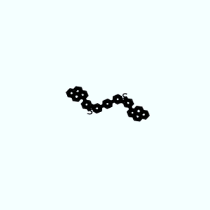 c1cc2ccc3ccc(-c4ccc5sc6ccc(-c7ccc(-c8ccc9sc%10ccc(-c%11ccc%12ccc%13cccc%14ccc%11c%12c%13%14)cc%10c9c8)cc7)cc6c5c4)c4ccc(c1)c2c34